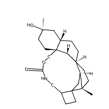 C[C@@]1(O)CC[C@@]23COC(=O)NCC4CCC45C[C@H]4[C@H](CC[C@H]2C1)[C@@H]3CC[C@@]45C